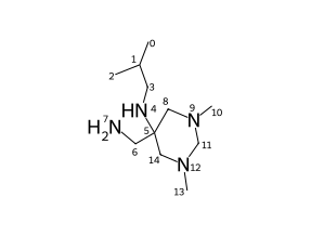 CC(C)CNC1(CN)CN(C)CN(C)C1